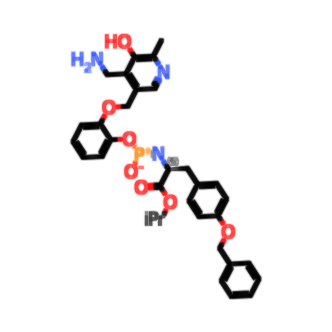 Cc1ncc(COc2ccccc2O[P+]([O-])=N[C@@H](Cc2ccc(OCc3ccccc3)cc2)C(=O)OC(C)C)c(CN)c1O